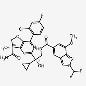 COc1cc(C(=O)NC[C@](O)(c2cc3c(c(-c4ccc(F)cc4Cl)n2)OC[C@]3(C)C(N)=O)C2CC2)cc2cn(C(F)F)nc12